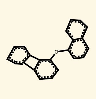 c1ccc2c(c1)-c1cccc(Oc3cccc4ccccc34)c1-2